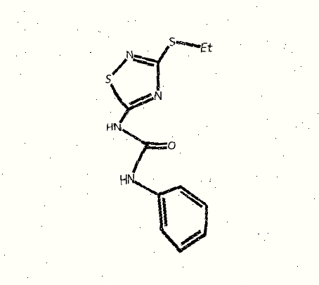 CCSc1nsc(NC(=O)Nc2ccccc2)n1